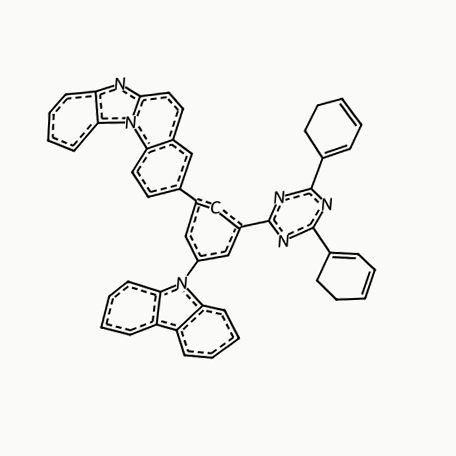 C1=CCCC(c2nc(C3=CC=CCC3)nc(-c3cc(-c4ccc5c(ccc6nc7ccccc7n65)c4)cc(-n4c5ccccc5c5ccccc54)c3)n2)=C1